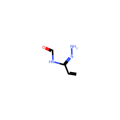 C=CC(=NN)NC=O